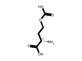 N[C@@H](CCOC(=O)O)C(=O)O